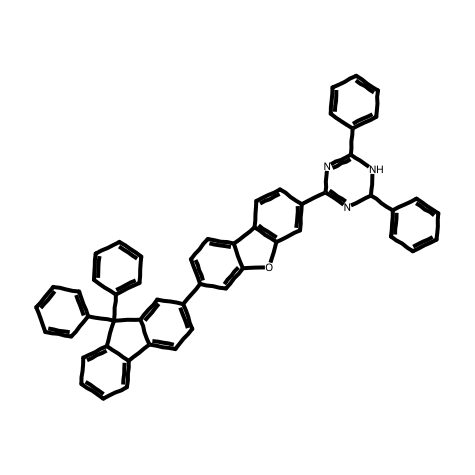 c1ccc(C2=NC(c3ccc4c(c3)oc3cc(-c5ccc6c(c5)C(c5ccccc5)(c5ccccc5)c5ccccc5-6)ccc34)=NC(c3ccccc3)N2)cc1